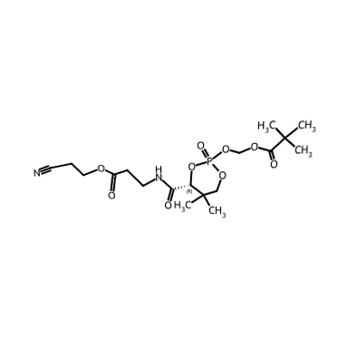 CC(C)(C)C(=O)OCOP1(=O)OCC(C)(C)[C@H](C(=O)NCCC(=O)OCCC#N)O1